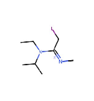 CCN(/C(CI)=N/C)C(C)C